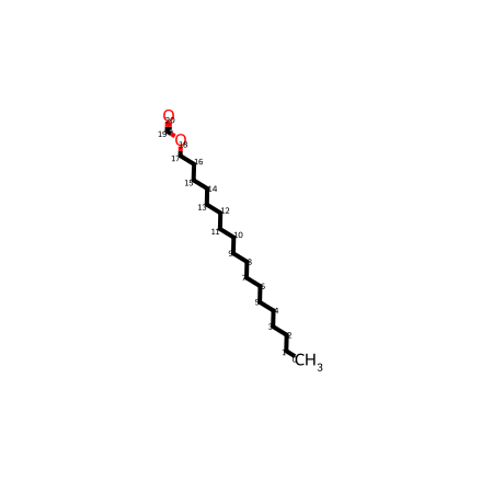 CCCCCCCCCCCCCCCCCCO[C]=O